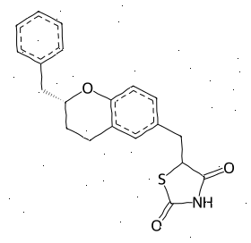 O=C1NC(=O)C(Cc2ccc3c(c2)CC[C@H](Cc2ccccc2)O3)S1